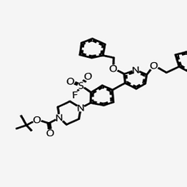 CC(C)(C)OC(=O)N1CCN(c2ccc(-c3ccc(OCc4ccccc4)nc3OCc3ccccc3)cc2S(=O)(=O)F)CC1